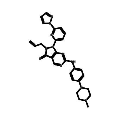 C=CCn1c(=O)c2cnc(Nc3ccc(N4CCN(C)CC4)cc3)nc2n1-c1cccc(-n2cccn2)n1